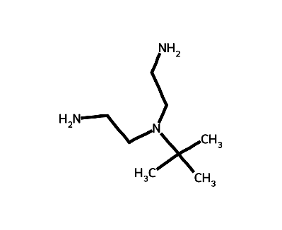 CC(C)(C)N(CCN)CCN